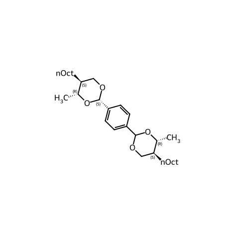 CCCCCCCC[C@H]1COC(c2ccc([C@H]3OC[C@H](CCCCCCCC)[C@@H](C)O3)cc2)O[C@@H]1C